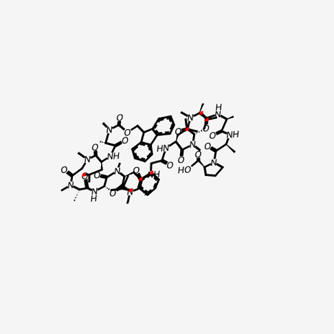 CC(C)C[C@H](NC(=O)[C@H](C)N(C)C(=O)OCC1c2ccccc2-c2ccccc21)C(=O)N(C)CC(=O)N(C)[C@@H](C)C(=O)N[C@@H](CC(C)C)C(=O)N(C)[C@@H](Cc1ccccc1)C(=O)N(C)[C@@H](C)C(=O)NCC(=O)N[C@@H](CC(C)C)C(=O)N(C)[C@@H](CC(C)C)C(=O)N(C)[C@@H](C)C(=O)N[C@@H](C)C(=O)N[C@@H](C)C(=O)N1CCC[C@H]1C(=O)O